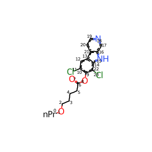 CCCOCCCCC(=O)Oc1c(Cl)cc2c([nH]c3cnccc32)c1Cl